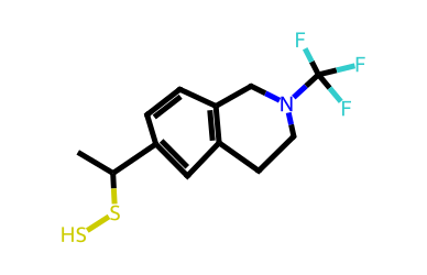 CC(SS)c1ccc2c(c1)CCN(C(F)(F)F)C2